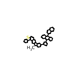 CC1c2ccc(-c3cccc(-c4c5c(c(-c6ccc7ccccc7c6)c6ccccc46)=CCCC=5)c3)cc2-c2cc3ccc4sc5ccccc5c4c3cc21